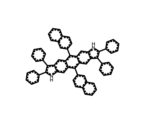 c1ccc(-c2[nH]c3cc4c(-c5ccc6ccccc6c5)c5cc6c(-c7ccccc7)c(-c7ccccc7)[nH]c6cc5c(-c5ccc6ccccc6c5)c4cc3c2-c2ccccc2)cc1